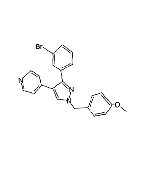 COc1ccc(Cn2cc(-c3ccncc3)c(-c3cccc(Br)c3)n2)cc1